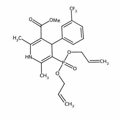 C=CCOP(=O)(OCC=C)C1=C(C)NC(C)=C(C(=O)OC)C1c1cccc(C(F)(F)F)c1